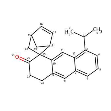 CC(C)c1cccc2cc3c(cc12)C1(CC2C=CC1C2)C(=O)CC3